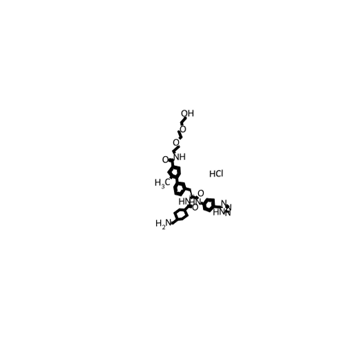 Cc1cc(C(=O)NCCOCCOCCO)ccc1-c1cccc(C[C@H](NC(=O)C2CCC(CN)CC2)C(=O)Nc2ccc(-c3nnn[nH]3)cc2)c1.Cl